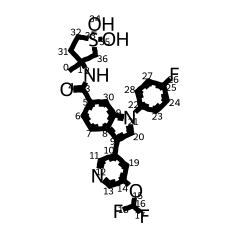 CC1(NC(=O)c2ccc3c(-c4cncc(OC(F)F)c4)cn(-c4ccc(F)cc4)c3c2)CCS(O)(O)C1